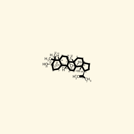 C=C(C)[C@@H]1CC[C]2CC[C@]3(C)[C@H](CC[C@@H]4[C@@]5(C)CC[C@H](O)C(C)(C)[C@@H]5CC[C@]43C)[C@H]21